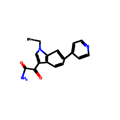 CC(C)Cn1cc(C(=O)C(N)=O)c2ccc(-c3ccncc3)cc21